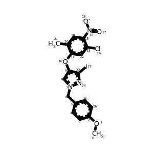 COc1ccc(Cn2cc(Oc3cc(Cl)c([N+](=O)[O-])cc3C)c(I)n2)cc1